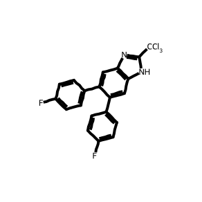 Fc1ccc(-c2cc3nc(C(Cl)(Cl)Cl)[nH]c3cc2-c2ccc(F)cc2)cc1